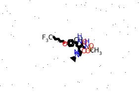 C[C@@]1(c2ccc(OCCCCCC(F)(F)F)cc2)CC(c2ccn(C3CC3)n2)=C(C(=O)NS(C)(=O)=O)C(=O)N1